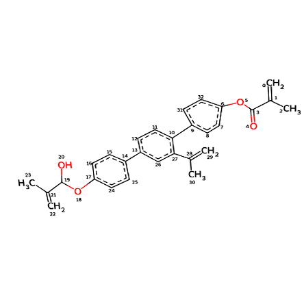 C=C(C)C(=O)Oc1ccc(-c2ccc(-c3ccc(OC(O)C(=C)C)cc3)cc2C(=C)C)cc1